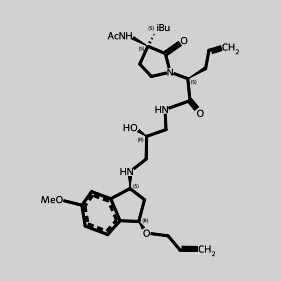 C=CCO[C@@H]1C[C@H](NC[C@@H](O)CNC(=O)[C@H](CC=C)N2CC[C@](NC(C)=O)([C@@H](C)CC)C2=O)c2cc(OC)ccc21